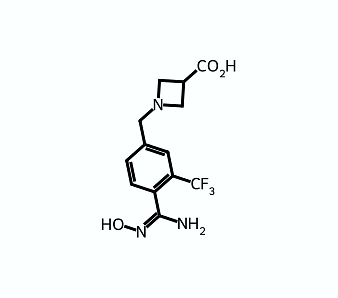 N/C(=N/O)c1ccc(CN2CC(C(=O)O)C2)cc1C(F)(F)F